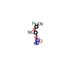 CN1CCn2c1cc(OCc1ccc(Oc3ccc(C#N)c(CF)c3)c(C#N)c1)nc2=O